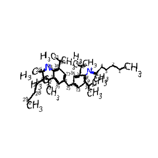 CCCCCC(C)=Nc1c(C(C)C)cc(Cc2cc(C(C)C)c(N=C(C)CCCCC)c(C(C)C)c2)cc1C(C)C